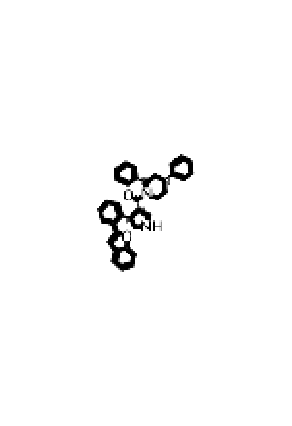 O=C([C@@H]1CNC[C@H]1c1ccccc1-c1cc2ccccc2o1)N1CC[C@H](c2ccccc2)C[C@@H]1c1ccccc1